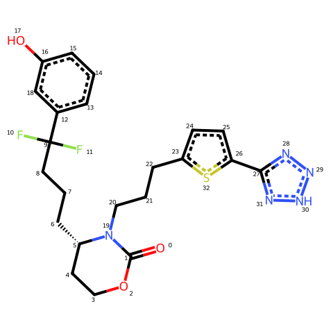 O=C1OCC[C@H](CCCC(F)(F)c2cccc(O)c2)N1CCCc1ccc(-c2nn[nH]n2)s1